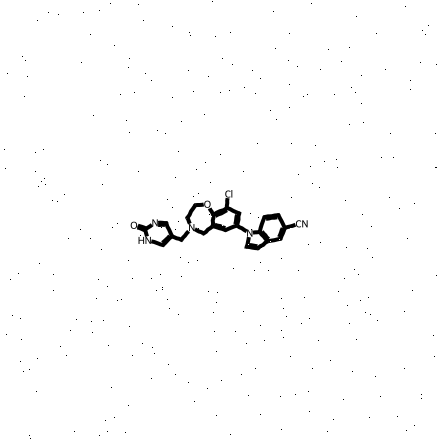 N#Cc1ccc2c(ccn2-c2cc(Cl)c3c(c2)CN(Cc2cnc(=O)[nH]c2)CCO3)c1